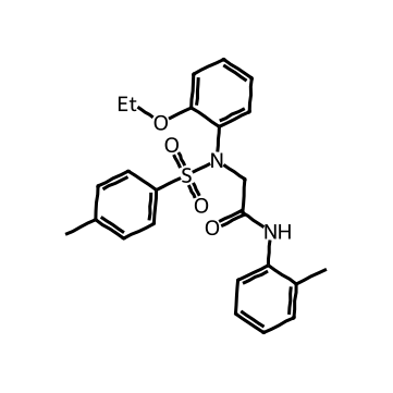 CCOc1ccccc1N(CC(=O)Nc1ccccc1C)S(=O)(=O)c1ccc(C)cc1